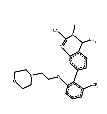 CN1C(N)=Nc2nc(-c3c(OCCN4CCOCC4)cccc3C(F)(F)F)ccc2C1N